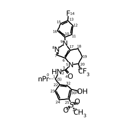 CCC[C@H](NC(=O)N1c2cnn(-c3ccc(F)cc3)c2CCC1C(F)(F)F)c1ccc(S(C)(=O)=O)c(O)c1